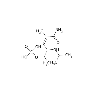 CCC(C=C(C)C(N)=O)NC(C)C.O=S(=O)(O)O